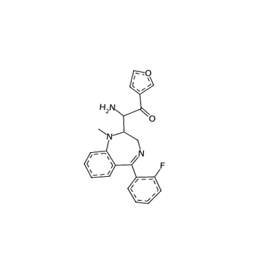 CN1c2ccccc2C(c2ccccc2F)=NCC1C(N)C(=O)c1ccoc1